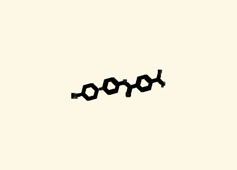 CC[C@H]1CC[C@H](c2ccc(SC(=O)c3ccc(C(F)F)cc3)cc2)CC1